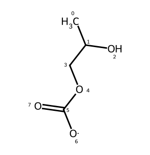 CC(O)COC([O])=O